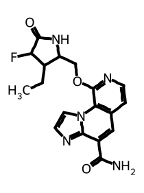 CCC1C(COc2nccc3cc(C(N)=O)c4nccn4c23)NC(=O)C1F